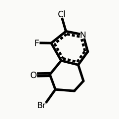 O=C1c2c(cnc(Cl)c2F)CCC1Br